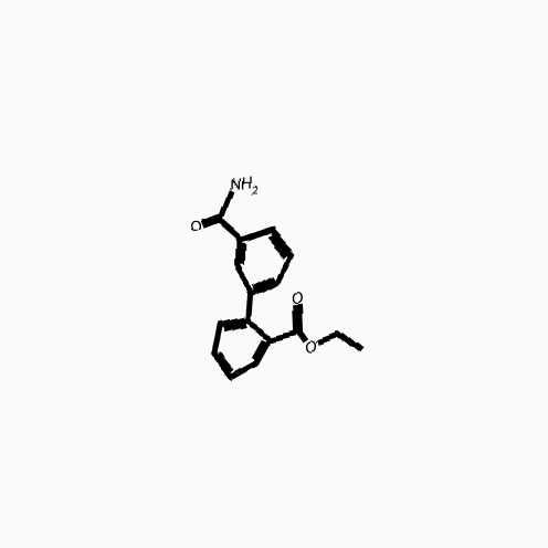 CCOC(=O)c1ccccc1-c1cccc(C(N)=O)c1